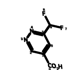 O=C(O)c1cnnc(C(F)F)c1